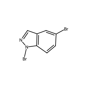 Brc1ccc2c(cnn2Br)c1